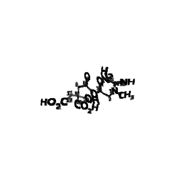 CN(CC(=O)OC(=O)CC(O)(CC(=O)O)C(=O)O)C(=N)N